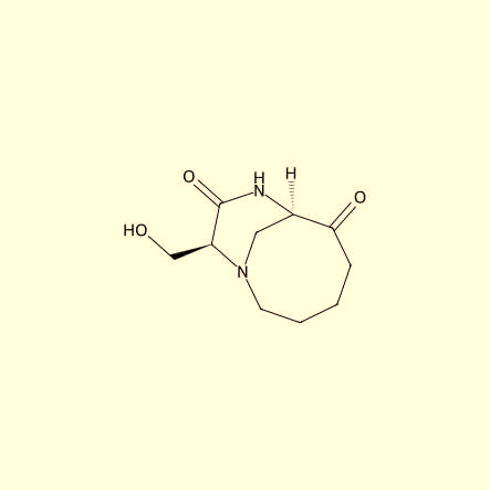 O=C1CCCCN2C[C@H]1NC(=O)[C@@H]2CO